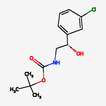 CC(C)(C)OC(=O)NC[C@@H](O)c1cccc(Cl)c1